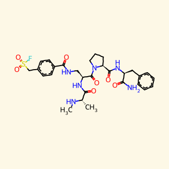 CN[C@@H](C)C(=O)N[C@@H](CNC(=O)c1ccc(CS(=O)(=O)F)cc1)C(=O)N1CCC[C@H]1C(=O)N[C@@H](Cc1ccccc1)C(N)=O